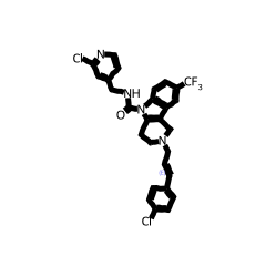 O=C(NCc1ccnc(Cl)c1)n1c2c(c3cc(C(F)(F)F)ccc31)CN(C/C=C/c1ccc(Cl)cc1)CC2